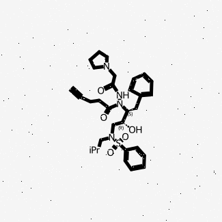 C#CCCC(=O)N(NC(=O)CN1CCCC1)[C@@H](Cc1ccccc1)[C@H](O)CN(CC(C)C)S(=O)(=O)c1ccccc1